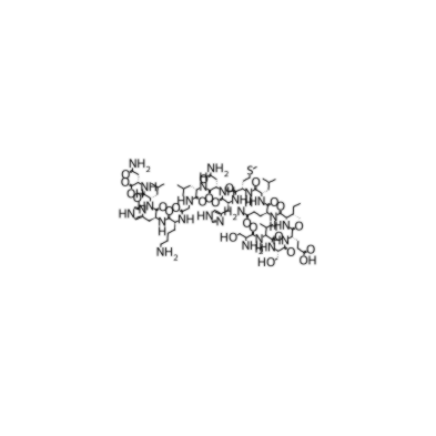 CC[C@H](C)[C@H](NC(=O)[C@H](CCC(=O)O)NC(=O)[C@H](CO)NC(=O)[C@@H](NC(=O)[C@@H](N)CO)C(C)C)C(=O)N[C@@H](CCC(N)=O)C(=O)N[C@@H](CC(C)C)C(=O)N[C@@H](CCSC)C(=O)N[C@@H](Cc1c[nH]cn1)C(=O)N[C@@H](CC(N)=O)C(=O)N[C@@H](CC(C)C)C(=O)NCC(=O)N[C@@H](CCCCN)C(=O)N[C@@H](Cc1c[nH]cn1)C(=O)N[C@@H](CC(C)C)C(=O)N[C@@H](CC(N)=O)C(=O)O